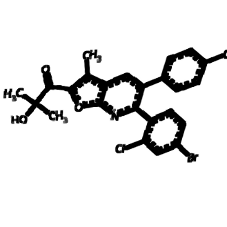 Cc1c(C(=O)C(C)(C)O)oc2nc(-c3ccc(Br)cc3Cl)c(-c3ccc(Cl)cc3)cc12